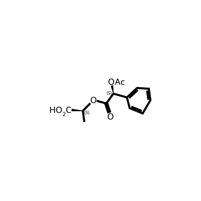 CC(=O)O[C@H](C(=O)O[C@@H](C)C(=O)O)c1ccccc1